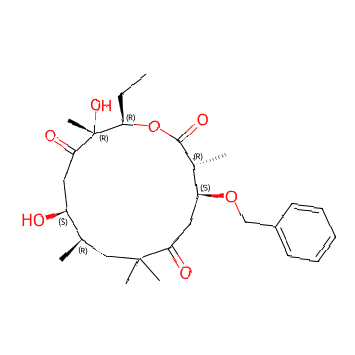 CC[C@H]1OC(=O)[C@H](C)[C@@H](OCc2ccccc2)CC(=O)C(C)(C)C[C@@H](C)[C@@H](O)CC(=O)[C@]1(C)O